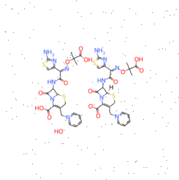 CC(C)(O/N=C(/C(=O)NC1C(=O)N2C(C(=O)O)=C(C[n+]3ccccc3)CSC12)c1csc(N)n1)C(=O)O.CC(C)(O/N=C(\C(=O)N[C@@H]1C(=O)N2C(C(=O)[O-])=C(C[n+]3ccccc3)CS[C@H]12)c1csc(N)n1)C(=O)O.[OH-]